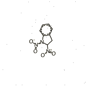 O=[N+]([O-])C1Cc2ccccc2N1[N+](=O)[O-]